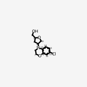 OCC1CC(N2CCOc3cc(Cl)ccc32)CO1